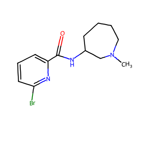 CN1CCCCC(NC(=O)c2cccc(Br)n2)C1